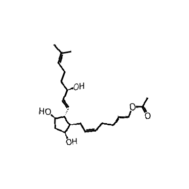 CC(=O)OCCCC/C=C\C[C@@H]1[C@@H](/C=C/[C@H](O)CCC=C(C)C)[C@H](O)C[C@@H]1O